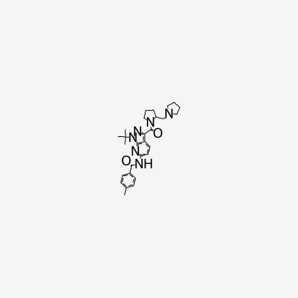 Cc1ccc(C(=O)Nc2ccc3c(C(=O)N4CCCC4CN4CCCC4)nn(C(C)(C)C)c3n2)cc1